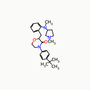 CN1CCC(N(C)c2ccccc2CC2OCCN(c3ccc(C(C)(C)C)cc3)C2=O)C1